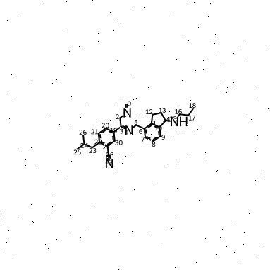 C=NC/C(=N\Cc1cccc2c1CCC2NCCC)c1ccc(CC(C)C)c(C#N)c1